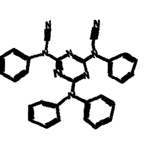 N#CN(c1ccccc1)c1nc(N(C#N)c2ccccc2)nc(N(c2ccccc2)c2ccccc2)n1